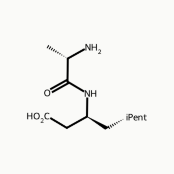 CCC[C@@H](C)C[C@@H](CC(=O)O)NC(=O)[C@H](C)N